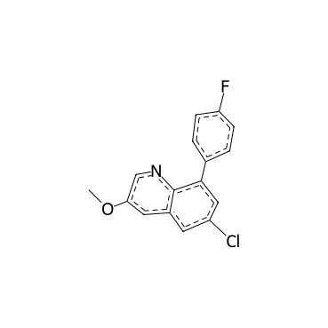 COc1cnc2c(-c3ccc(F)cc3)cc(Cl)cc2c1